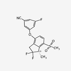 C[C@H]1c2c(S(C)(=O)=O)ccc(Oc3cc(F)cc(C#N)c3)c2CC1(F)F